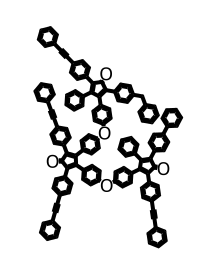 O=C1C(c2ccc(-c3ccccc3)cc2)=C(c2ccccc2)C(c2ccc(Oc3ccc(C4=C(c5ccc(C#Cc6ccccc6)cc5)C(=O)C(c5ccc(C#Cc6ccccc6)cc5)=C4c4ccc(Oc5ccc(C6=C(c7ccc(Cc8ccccc8)cc7)C(=O)C(c7ccc(C#Cc8ccccc8)cc7)=C6c6ccccc6)cc5)cc4)cc3)cc2)=C1c1ccc(C#Cc2ccccc2)cc1